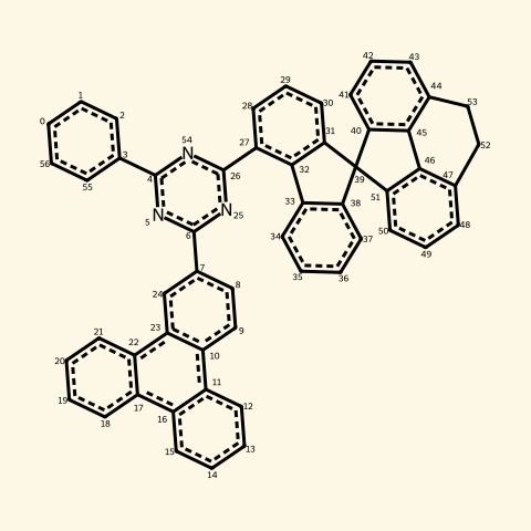 c1ccc(-c2nc(-c3ccc4c5ccccc5c5ccccc5c4c3)nc(-c3cccc4c3-c3ccccc3C43c4cccc5c4-c4c(cccc43)CC5)n2)cc1